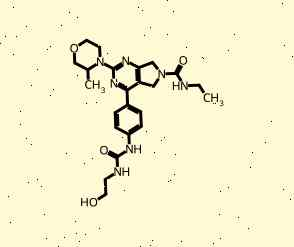 CCNC(=O)N1Cc2nc(N3CCOCC3C)nc(-c3ccc(NC(=O)NCCO)cc3)c2C1